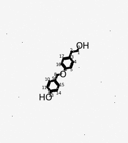 OCCc1ccc(OCc2ccc(O)cc2)cc1